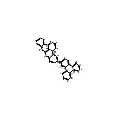 c1ccc2c(c1)Oc1nc3ccc(-c4ccc5c6ccccc6c6ccccc6c5c4)cc3c3ccnc-2c13